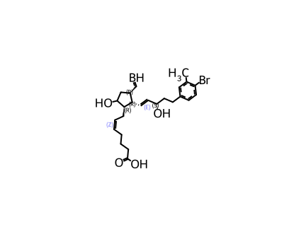 B=C[C@@H]1CC(O)[C@H](C/C=C\CCCC(=O)O)[C@H]1/C=C/[C@@H](O)CCc1ccc(Br)c(C)c1